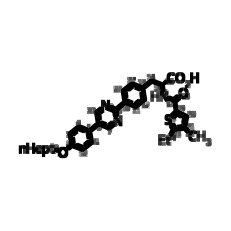 CCCCCCCOc1ccc(-c2cnc(-c3ccc(C[C@H](NC(=O)c4cc(C)c(CC)s4)C(=O)O)cc3)nc2)cc1